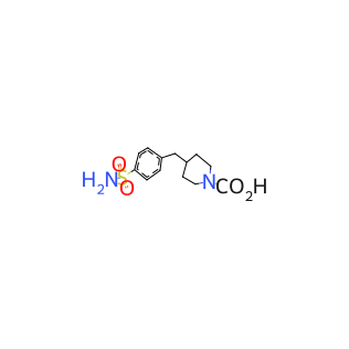 NS(=O)(=O)c1ccc(CC2CCN(C(=O)O)CC2)cc1